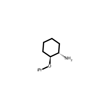 CC(C)O[C@H]1CCCC[C@@H]1N